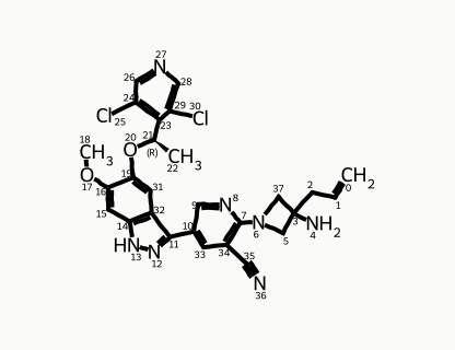 C=CCC1(N)CN(c2ncc(-c3n[nH]c4cc(OC)c(O[C@H](C)c5c(Cl)cncc5Cl)cc34)cc2C#N)C1